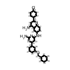 Nc1nc(Nc2ccc3nc(-c4ccc(Cl)cc4)cc(N)c3c2)cc(-c2cccc(OCc3ccccc3)c2)n1